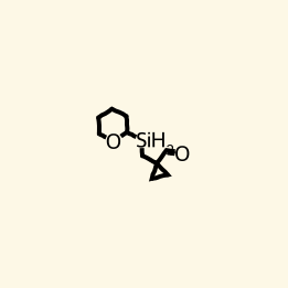 O=CC1(C[SiH2]C2CCCCO2)CC1